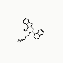 Cl.Cn1c(CN(CCCCN)C2CCCc3cccnc32)nc2ccccc21